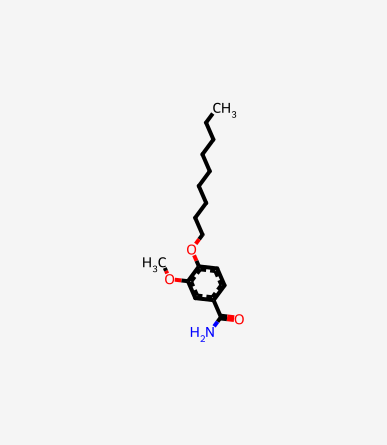 CCCCCCCCCOc1ccc(C(N)=O)cc1OC